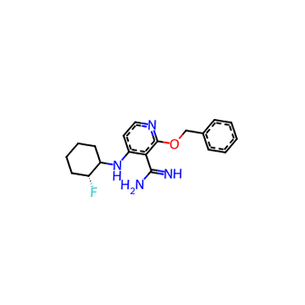 N=C(N)c1c(NC2CCCC[C@H]2F)ccnc1OCc1ccccc1